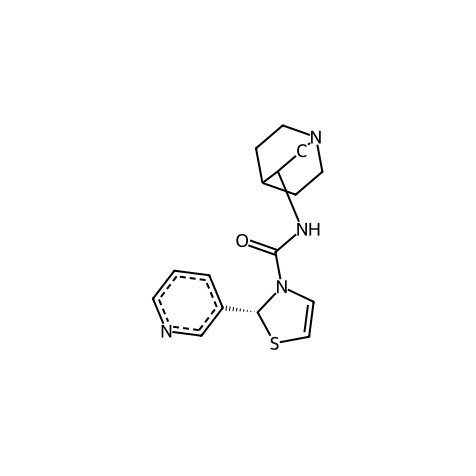 O=C(NC1CN2CCC1CC2)N1C=CS[C@@H]1c1cccnc1